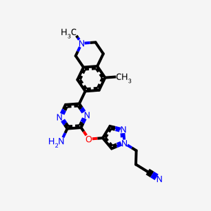 Cc1cc(-c2cnc(N)c(Oc3cnn(CCC#N)c3)n2)cc2c1CCN(C)C2